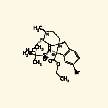 CCOC(=O)[C@]1(N[S@@+]([O-])C(C)(C)C)c2cc(Br)ccc2C[C@@]12CC[C@H](C)[C@@H](CC)C2